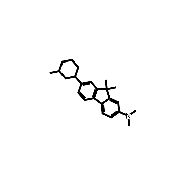 CC1CCCC(c2ccc3c(c2)C(C)(C)c2cc(N(C)C)ccc2-3)C1